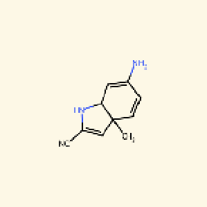 CC12C=CC(N)=CC1NC(C#N)=C2